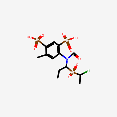 CCC(N(C=O)c1cc(C)c(S(=O)(=O)O)cc1S(=O)(=O)O)S(=O)(=O)C(C)Cl